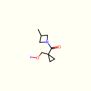 CC1CN(C(=O)C2(COI)CC2)C1